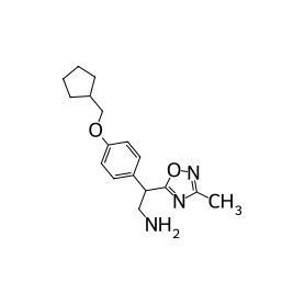 Cc1noc(C(CN)c2ccc(OCC3CCCC3)cc2)n1